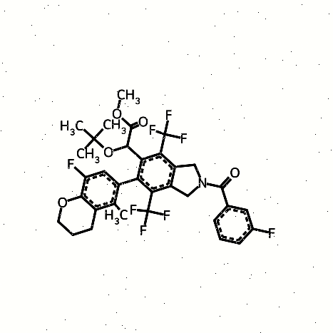 COC(=O)C(OC(C)(C)C)c1c(-c2cc(F)c3c(c2C)CCCO3)c(C(F)(F)F)c2c(c1C(F)(F)F)CN(C(=O)c1cccc(F)c1)C2